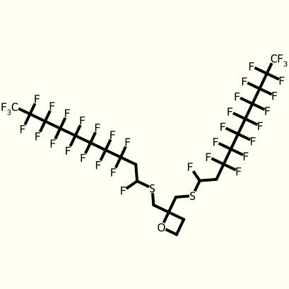 FC(CC(F)(F)C(F)(F)C(F)(F)C(F)(F)C(F)(F)C(F)(F)C(F)(F)C(F)(F)F)SCC1(CSC(F)CC(F)(F)C(F)(F)C(F)(F)C(F)(F)C(F)(F)C(F)(F)C(F)(F)C(F)(F)F)CCO1